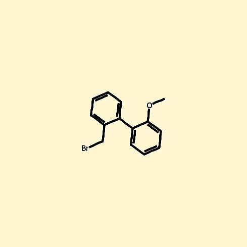 COc1ccccc1-c1ccccc1CBr